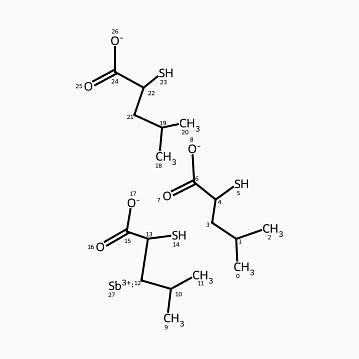 CC(C)CC(S)C(=O)[O-].CC(C)CC(S)C(=O)[O-].CC(C)CC(S)C(=O)[O-].[Sb+3]